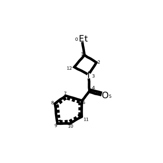 CCC1CI(C(=O)c2ccccc2)C1